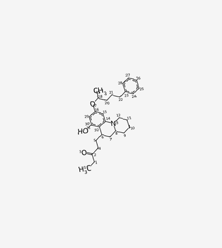 CCC(=O)CCC1CC2CCCCN2c2cc(OC(C)CCCc3ccccc3)cc(O)c21